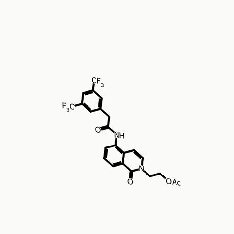 CC(=O)OCCn1ccc2c(NC(=O)Cc3cc(C(F)(F)F)cc(C(F)(F)F)c3)cccc2c1=O